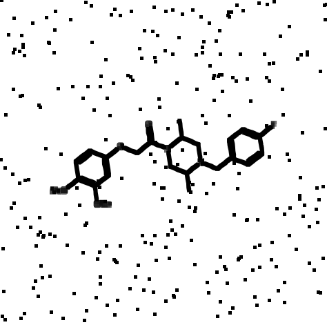 COc1ccc(OCC(=O)N2CC(C)N(Cc3ccc(F)cc3)CC2C)cc1OC